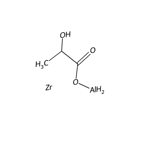 CC(O)C(=O)[O][AlH2].[Zr]